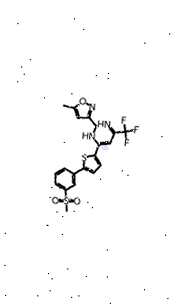 Cc1cc(CN/C(=C\C(=N)C(F)(F)F)c2ccc(-c3cccc(S(C)(=O)=O)c3)s2)no1